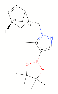 Cc1c(B2OC(C)(C)C(C)(C)O2)cnn1C[C@@H]1C[C@@H]2C=CC1C2